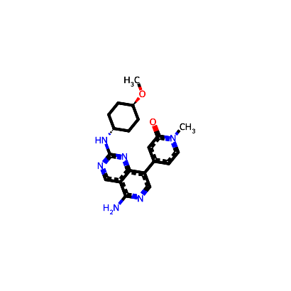 CO[C@H]1CC[C@H](Nc2ncc3c(N)ncc(-c4ccn(C)c(=O)c4)c3n2)CC1